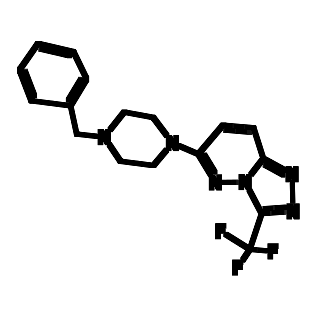 FC(F)(F)c1nnc2ccc(N3CCN(Cc4ccccc4)CC3)nn12